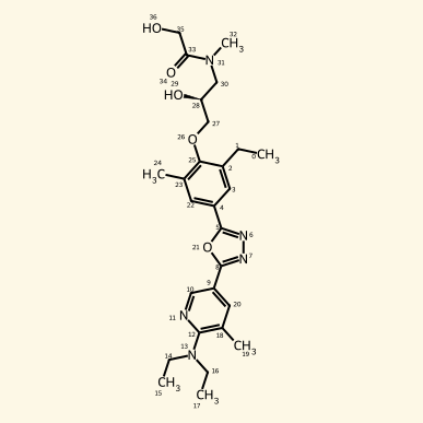 CCc1cc(-c2nnc(-c3cnc(N(CC)CC)c(C)c3)o2)cc(C)c1OC[C@@H](O)CN(C)C(=O)CO